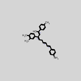 Cc1ccc(/C(O)=C/C(=C\C/C=C/C=C/c2ccc(N)cc2)c2ccc(C)c(C)c2)cc1